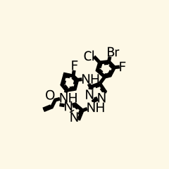 C=CC(=O)Nc1ccc(F)c(Nc2nc(Nc3cnn(C)c3)ncc2-c2cc(F)c(Br)c(Cl)c2)c1